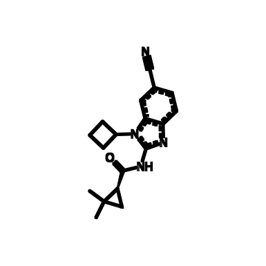 CC1(C)C[C@@H]1C(=O)Nc1nc2ccc(C#N)cc2n1C1CCC1